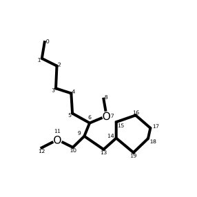 CCCCCCC(OC)C(COC)CC1CCCCC1